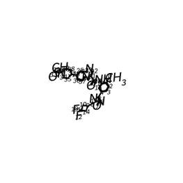 Cc1ccc(-c2noc(C3CC(F)(F)C3)n2)cc1NC(=O)c1cnc2cc(C3CCN([S+](C)[O-])CC3)ccn12